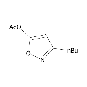 CCCCc1cc(OC(C)=O)on1